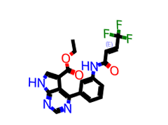 CCOC(=O)c1c[nH]c2ncnc(-c3cccc(NC(=O)/C=C/C(F)(F)F)c3)c12